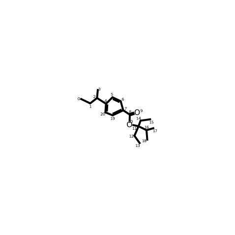 CCC(C)c1ccc(C(=O)OC(CC)(CC)C(C)C)cc1